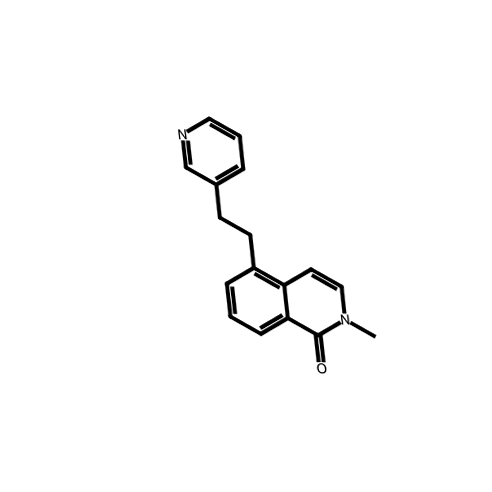 Cn1ccc2c(CCc3cccnc3)cccc2c1=O